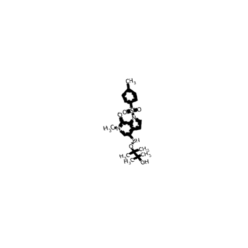 Cc1ccc(S(=O)(=O)n2ccc3c(BOC(C)(C)C(C)(C)O)cn(C)c(=O)c32)cc1